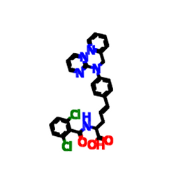 O=C(NC(CC=Cc1ccc(N(Cc2ccccn2)c2ncccn2)cc1)C(=O)O)c1c(Cl)cccc1Cl